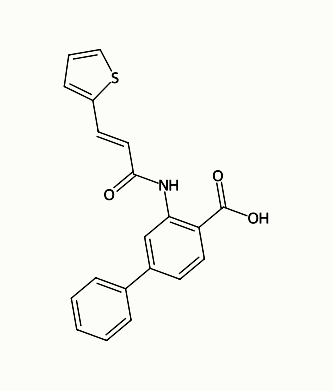 O=C(C=Cc1cccs1)Nc1cc(-c2ccccc2)ccc1C(=O)O